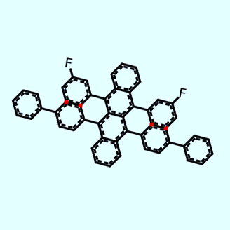 Fc1cccc(-c2c3ccccc3c(-c3cccc(F)c3)c3c(-c4ccc(-c5ccccc5)cc4)c4ccccc4c(-c4ccc(-c5ccccc5)cc4)c23)c1